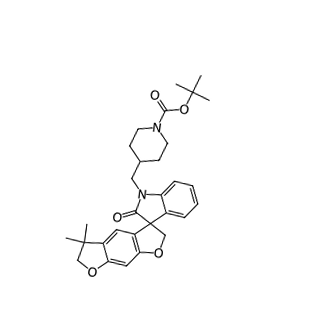 CC(C)(C)OC(=O)N1CCC(CN2C(=O)C3(COc4cc5c(cc43)C(C)(C)CO5)c3ccccc32)CC1